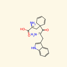 N[C@@H](CC1(C(=O)[C@@H](N)Cc2c[nH]c3ccccc23)C=CC=CC1)C(=O)O